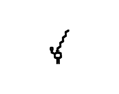 CCCCCCCCN1CCNC[C@H]1C=O